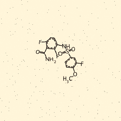 COc1ccc(S(=O)(=O)Nc2ccc(F)c(C(N)=O)c2F)cc1F